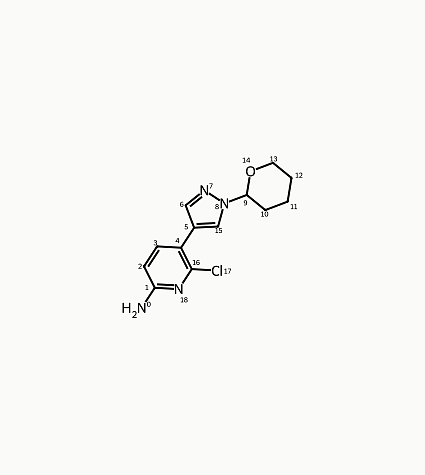 Nc1ccc(-c2cnn(C3CCCCO3)c2)c(Cl)n1